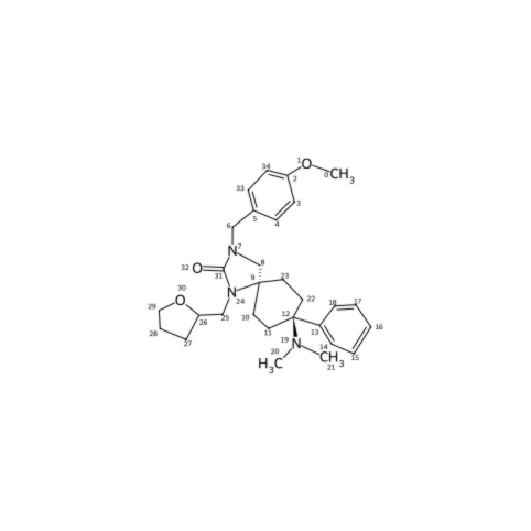 COc1ccc(CN2C[C@]3(CC[C@](c4ccccc4)(N(C)C)CC3)N(CC3CCCO3)C2=O)cc1